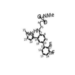 CNS(=O)(=O)CCNc1ccc(-c2cccc(F)c2F)cc1-c1ccn(C)n1